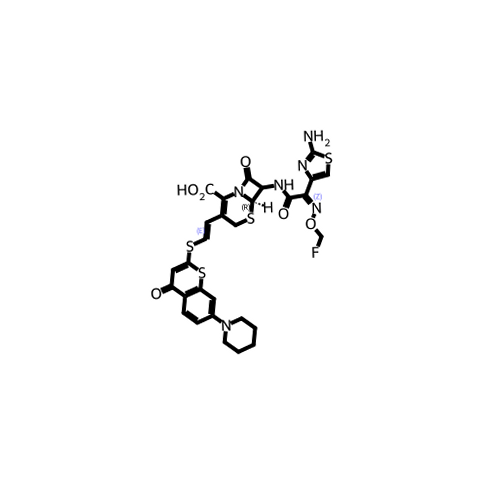 Nc1nc(/C(=N/OCF)C(=O)NC2C(=O)N3C(C(=O)O)=C(/C=C/Sc4cc(=O)c5ccc(N6CCCCC6)cc5s4)CS[C@H]23)cs1